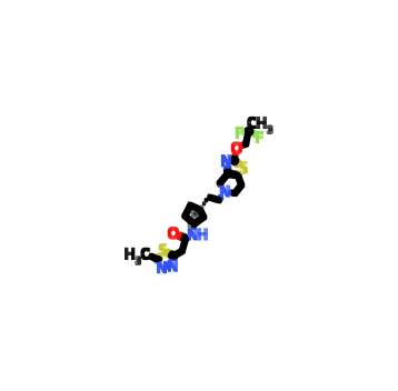 Cc1nnc(CC(=O)N[C@H]2CC[C@H](CCN3CCc4sc(OCC(C)(F)F)nc4C3)C2)s1